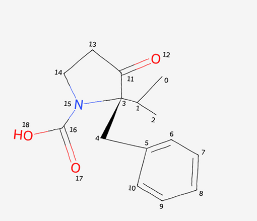 CC(C)[C@@]1(Cc2ccccc2)C(=O)CCN1C(=O)O